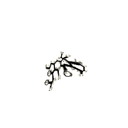 CCCC(CC1CC(=O)c2c(C)cccc2C1(C)CC)C(CC)C(=O)CC(C)=O